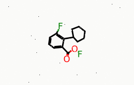 O=C(OF)c1cccc(F)c1C1CCCCC1